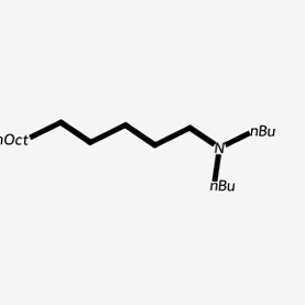 CCCCCCCCCCCCCN(CCCC)CCCC